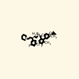 CCOC(=O)C(c1ccc(F)c(C)c1C1CCC(OC2(C)CC2)CC1)N(C)CC[C@H](CCN1CCCCC1)c1cc(F)cc(Cl)c1